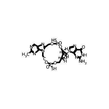 Cc1ncc2nc3n(c2n1)CCOP(=O)(S)OC[C@H]1O[C@@H](n2cnc4c(=O)[nH]c(N)nc42)[C@H](OP(=O)(S)OC3)[C@@H]1F